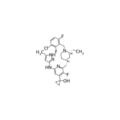 CC[C@@H]1C[C@H](Cc2nc(Nc3cc(C)[nH]n3)cc(C3(O)CC3)c2F)CCN1Cc1c(F)ccc(Cl)c1F